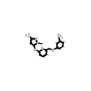 Cn1nc(C(F)(F)F)cc1Oc1cccc(COc2cccc(C(F)(F)F)c2)n1